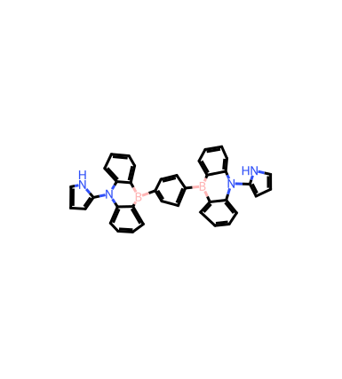 c1c[nH]c(N2c3ccccc3B(c3ccc(B4c5ccccc5N(c5ccc[nH]5)c5ccccc54)cc3)c3ccccc32)c1